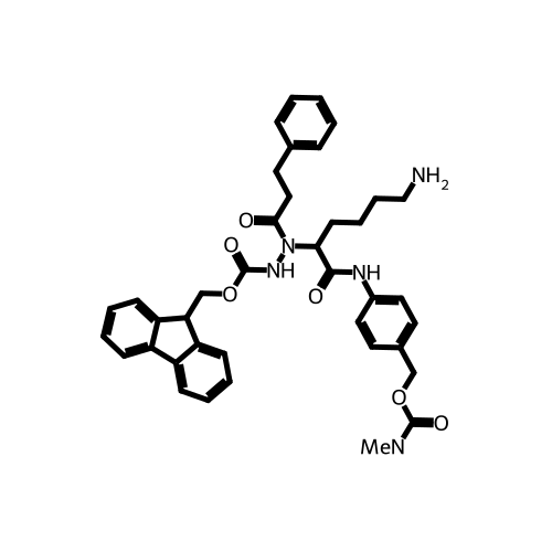 CNC(=O)OCc1ccc(NC(=O)C(CCCCN)N(NC(=O)OCC2c3ccccc3-c3ccccc32)C(=O)CCc2ccccc2)cc1